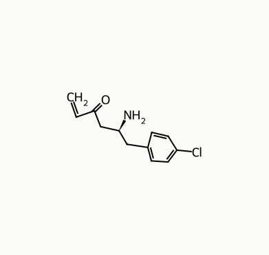 C=CC(=O)C[C@@H](N)Cc1ccc(Cl)cc1